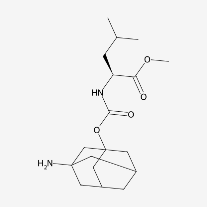 COC(=O)[C@H](CC(C)C)NC(=O)OC12CC3CC(CC(N)(C3)C1)C2